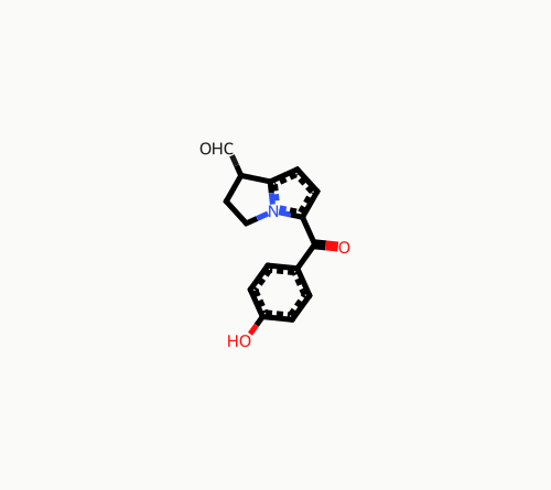 O=CC1CCn2c(C(=O)c3ccc(O)cc3)ccc21